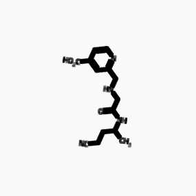 CC(CCC#N)NC(=O)CNCc1cc(C(=O)O)ccn1